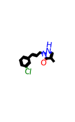 Cc1c[nH]n(CC=Cc2cccc(Cl)c2)c1=O